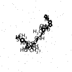 COc1cc(C(=O)N[C@@H]2CCc3ccc(-c4cn5c(n4)CCC5)cc32)cc(OCCCNC(=O)COCC(=O)NC(C(=O)N2C[C@H](O)C[C@H]2C(=O)NCc2ccc(-c3scnc3C)cc2)C(C)(C)C)c1C